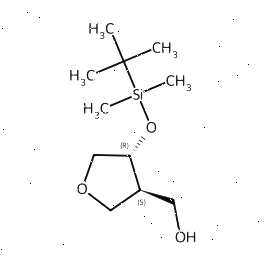 CC(C)(C)[Si](C)(C)O[C@H]1COC[C@@H]1CO